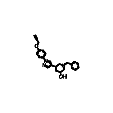 C#CCOc1ccc(-n2cc(C3CC(O)CN(Cc4ccccc4)C3)cn2)cc1